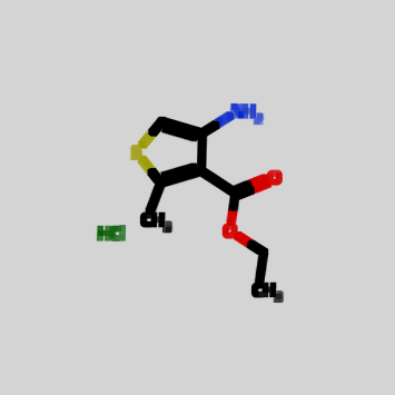 CCOC(=O)c1c(N)csc1C.Cl